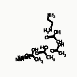 CC(=O)O.CC(=O)O.CC(=O)O.CC(=O)O.NCCN.[NaH].[NaH].[NaH]